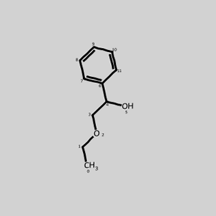 CCOCC(O)c1ccccc1